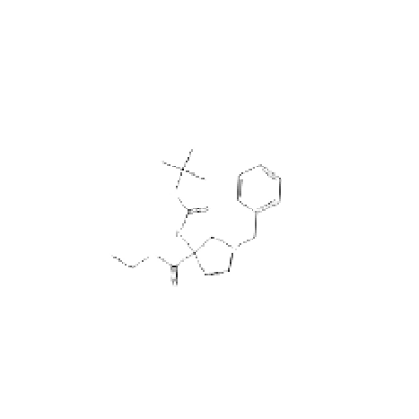 CCOC(=O)C1(NC(=O)OC(C)(C)C)CCN(Cc2ccccc2)C1